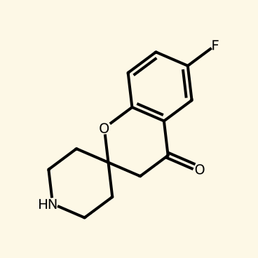 O=C1CC2(CCNCC2)Oc2ccc(F)cc21